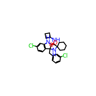 O=C(NC1CCC1)C1(NC2(Cc3cccc(Cl)c3)C(=O)Nc3cc(Cl)ccc32)CCCCC1